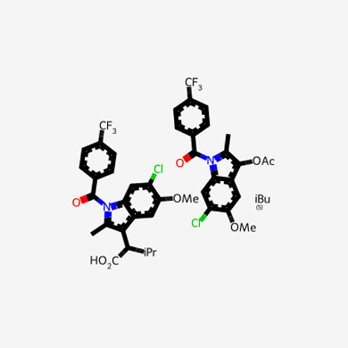 CC[C@H](C)c1c(OC)c(Cl)cc2c1c(OC(C)=O)c(C)n2C(=O)c1ccc(C(F)(F)F)cc1.COc1cc2c(C(C(=O)O)C(C)C)c(C)n(C(=O)c3ccc(C(F)(F)F)cc3)c2cc1Cl